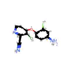 N#Cc1nccc(Oc2ccc(N)cc2F)c1Cl